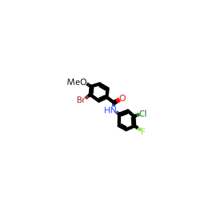 COc1ccc(C(=O)Nc2ccc(F)c(Cl)c2)cc1Br